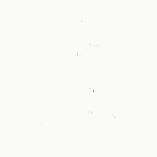 CC(C)(O)c1ncc(-c2ccc3nc4n(c3n2)[C@@]2(CCOc3ccccc32)COC4)cn1